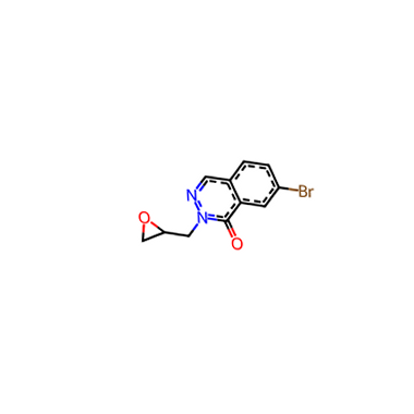 O=c1c2cc(Br)ccc2cnn1CC1CO1